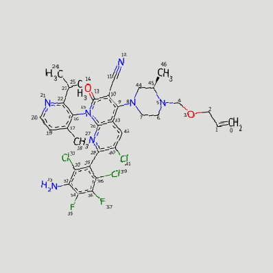 C=CCOCN1CCN(c2c(C#N)c(=O)n(-c3c(C)ccnc3C(C)C)c3nc(-c4c(Cl)c(N)c(F)c(F)c4Cl)c(Cl)cc23)C[C@H]1C